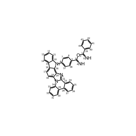 N=C(OC(=N)c1ccc(-n2c3ccccc3c3ccc4c(nc5c6ccccc6c6ccccc6n45)c32)cc1)c1ccccc1